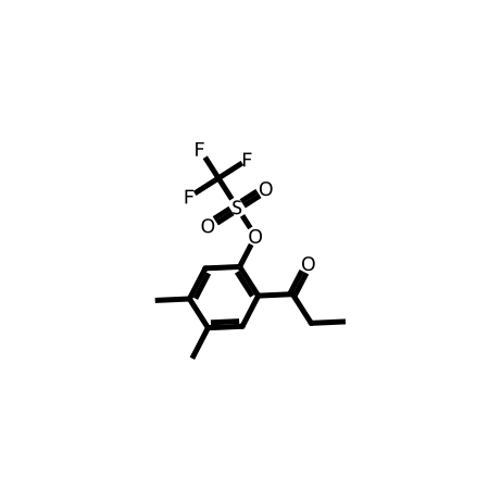 CCC(=O)c1cc(C)c(C)cc1OS(=O)(=O)C(F)(F)F